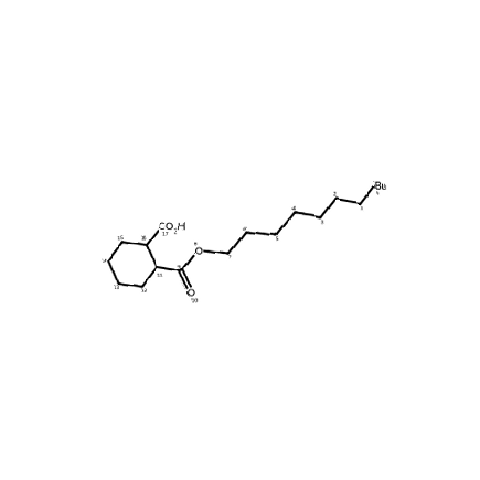 CCC(C)CCCCCCCOC(=O)C1CCCCC1C(=O)O